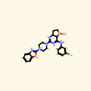 [O-][S+]1CCC2N=C(N3CCN(c4nc5ccccc5o4)CC3)N=C(Nc3cccc(F)c3)C21